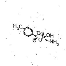 Cc1ccc(S(=O)(=O)OP(=O)(O)CN)cc1